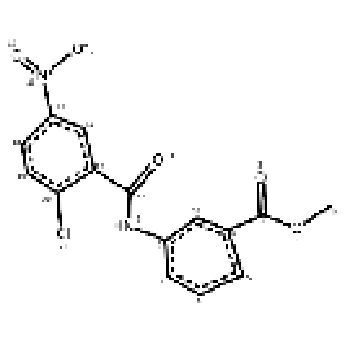 COC(=O)c1cccc(NC(=O)c2cc([N+](=O)[O-])ccc2Cl)c1